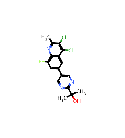 Cc1nc2c(F)cc(-c3cnc(C(C)(C)O)nc3)cc2c(Cl)c1Cl